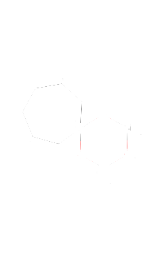 C1CCC[Si]2(CC1)O[SiH2]O[SiH2]O2